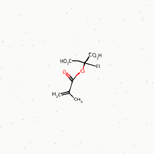 C=C(C)C(=O)OC(CC)(C(=O)O)C(=O)O